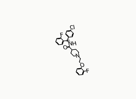 O=C(N[C@H](c1ccc(Cl)cc1)c1ccccc1F)C1CCN(CCOc2ccccc2F)CC1